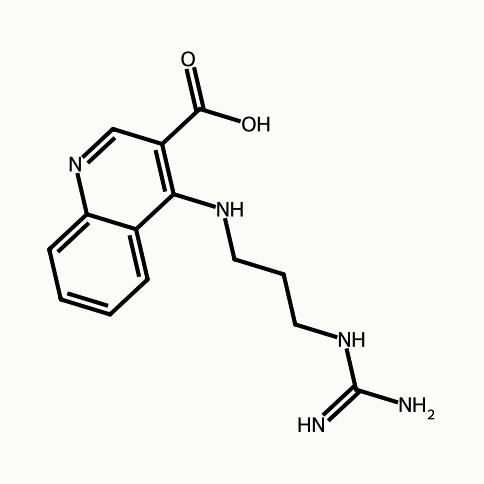 N=C(N)NCCCNc1c(C(=O)O)cnc2ccccc12